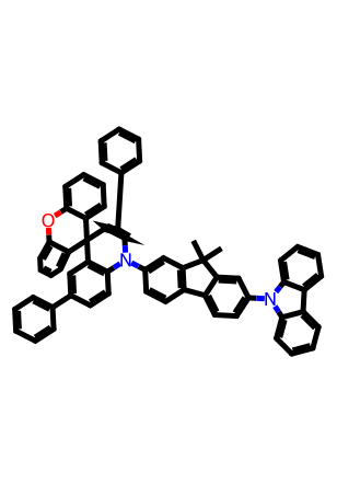 CC1(C)c2cc(N3c4ccc(-c5ccccc5)cc4C4(c5ccccc5Oc5ccccc54)c4cc(-c5ccccc5)ccc43)ccc2-c2ccc(-n3c4ccccc4c4ccccc43)cc21